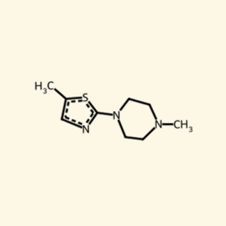 Cc1cnc(N2CCN(C)CC2)s1